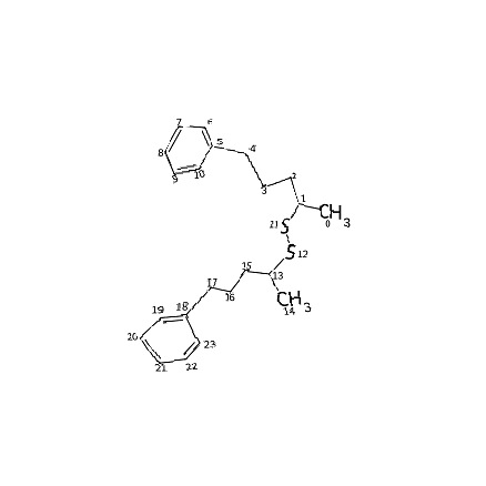 CC(CCCc1ccccc1)SSC(C)CCCc1ccccc1